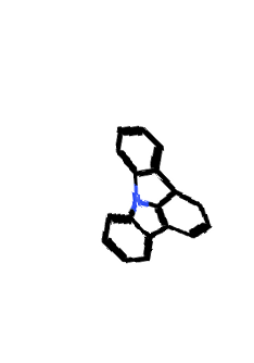 C1=Cc2c3n(c4ccccc24)-c2ccccc2C3C1